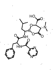 CC(C)CC(NC(=O)C(Cc1ccccc1)NC(=O)c1cnccn1)B1OC(=O)[C@@H](N(C)C)[C@H](C(=O)O)O1